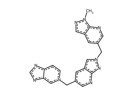 Cn1ncc2cc(Cn3cc4cc(Cn5ccc6ncnc-6c5)cnc4n3)cnc21